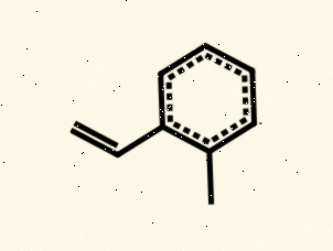 C=Cc1ccc[c]c1C